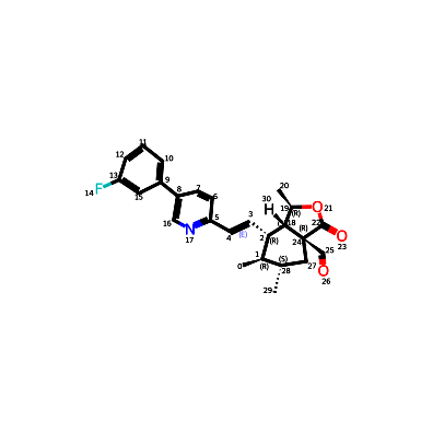 C[C@H]1[C@H](/C=C/c2ccc(-c3cccc(F)c3)cn2)[C@@H]2[C@@H](C)OC(=O)[C@]2(C=O)C[C@@H]1C